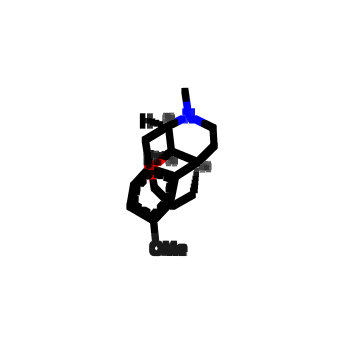 CC[C@@]12OCCC[C@@]13CCN(C)[C@@H]2Cc1ccc(OC)cc13